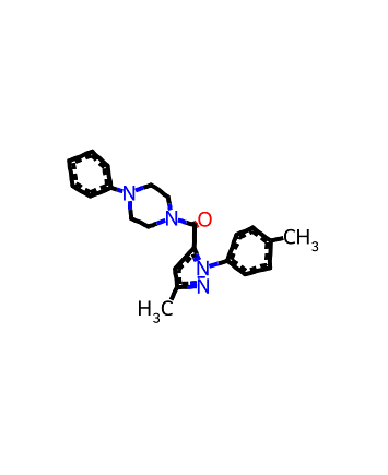 Cc1ccc(-n2nc(C)cc2C(=O)N2CCN(c3ccccc3)CC2)cc1